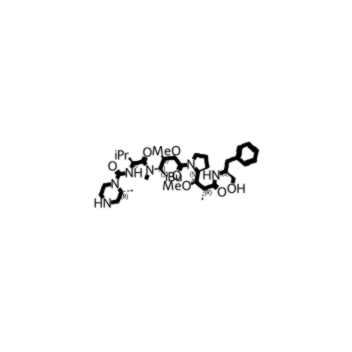 CC[C@H](C)[C@@H]([C@H](CC(=O)N1CCC[C@H]1[C@H](OC)[C@@H](C)C(=O)N[C@H](CO)Cc1ccccc1)OC)N(C)C(=O)[C@@H](NC(=O)N1CCNC[C@H]1C)C(C)C